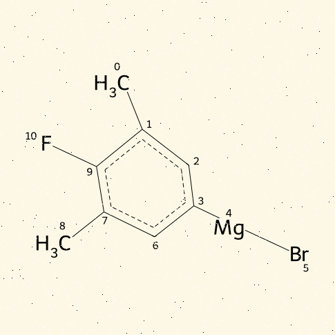 Cc1c[c]([Mg][Br])cc(C)c1F